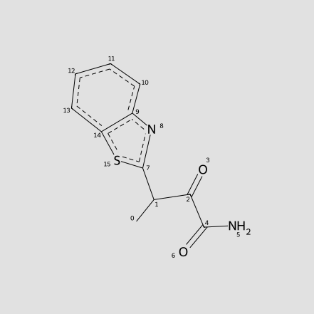 CC(C(=O)C(N)=O)c1nc2ccccc2s1